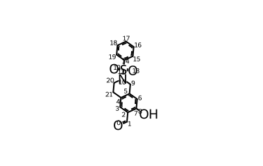 O=Cc1cc2c(cc1O)CN(S(=O)(=O)c1ccccc1)CC2